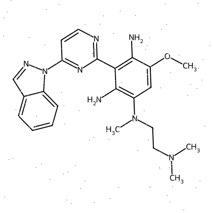 COc1cc(N(C)CCN(C)C)c(N)c(-c2nccc(-n3ncc4ccccc43)n2)c1N